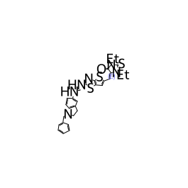 CCN1C(=O)/C(=C\c2cc3sc(NCNc4ccc5c(c4)CCN5Cc4ccccc4)nc3s2)N(CC)C1=S